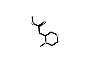 COC(=O)CC1COCCN1C